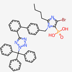 CCCCc1nc(Br)c(P(=O)(O)O)n1Cc1ccc(-c2ccccc2-c2nnn(C(c3ccccc3)(c3ccccc3)c3ccccc3)n2)cc1